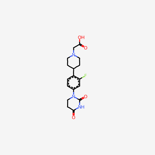 O=C(O)CN1CCC(c2ccc(N3CCC(=O)NC3=O)cc2F)CC1